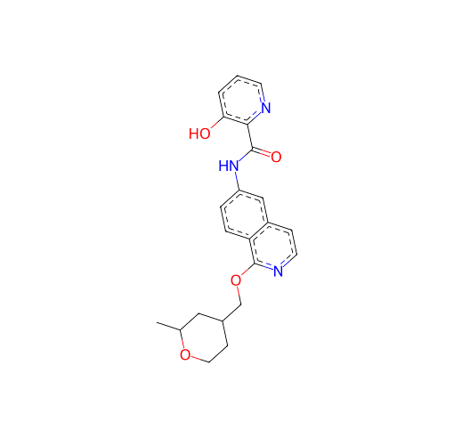 CC1CC(COc2nccc3cc(NC(=O)c4ncccc4O)ccc23)CCO1